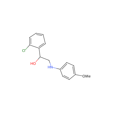 COc1ccc(NCC(O)c2ccccc2Cl)cc1